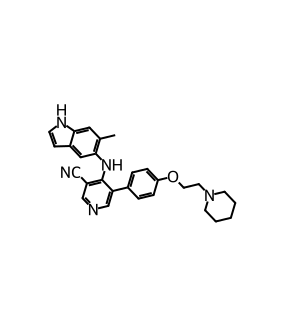 Cc1cc2[nH]ccc2cc1Nc1c(C#N)cncc1-c1ccc(OCCN2CCCCC2)cc1